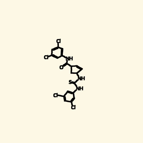 O=C(Nc1cc(Cl)cc(Cl)c1)C1C=CC(NC(=S)Nc2cc(Cl)cc(Cl)c2)C1